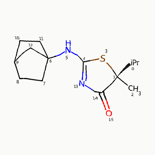 CC(C)[C@]1(C)SC(NC23CCC(CC2)C3)=NC1=O